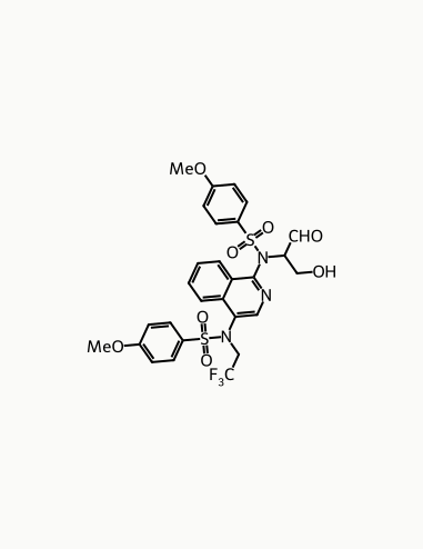 COc1ccc(S(=O)(=O)N(CC(F)(F)F)c2cnc(N(C(C=O)CO)S(=O)(=O)c3ccc(OC)cc3)c3ccccc23)cc1